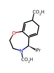 CC(C)[C@@H]1C2=CCC(C(=O)O)C=C2OCCN1C(=O)O